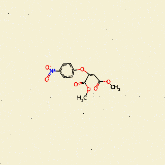 COC(=O)/C=C(/Oc1ccc([N+](=O)[O-])cc1)C(=O)OC